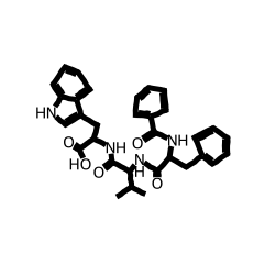 CC(C)C(NC(=O)C(Cc1ccccc1)NC(=O)c1ccccc1)C(=O)NC(Cc1c[nH]c2ccccc12)C(=O)O